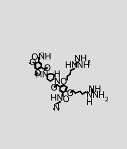 CNC(=O)c1cc(C(=O)N[C@H]2CC[C@@H](NC(=O)c3cc(C(=O)NCCN(C)C)c(OCCCCCNC(=N)N)cc3OCCCCCNC(=N)N)CC2)c(OC)cc1OC